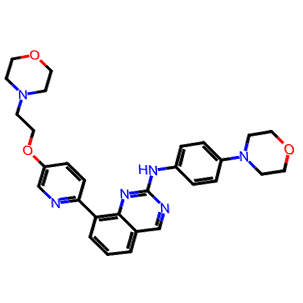 c1cc(-c2ccc(OCCN3CCOCC3)cn2)c2nc(Nc3ccc(N4CCOCC4)cc3)ncc2c1